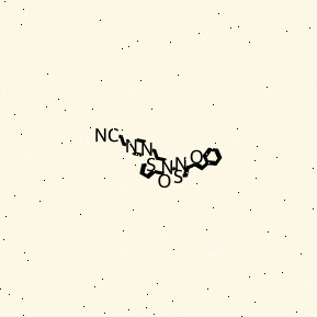 N#CCCN1CCN(CCCN(C(=O)c2cccs2)c2nc(-c3cc4ccccc4o3)cs2)CC1